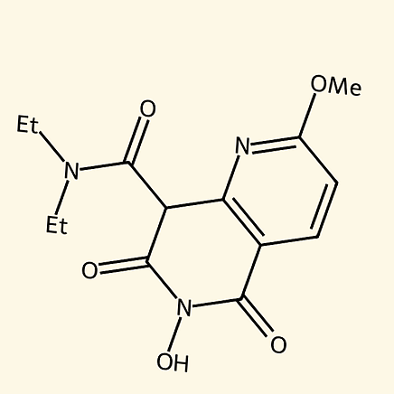 CCN(CC)C(=O)C1C(=O)N(O)C(=O)c2ccc(OC)nc21